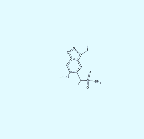 CCc1noc2cc(OC)c(C(C)S(N)(=O)=O)cc12